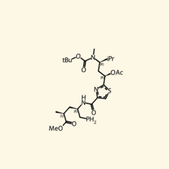 COC(=O)[C@@H](C)C[C@H](CP)NC(=O)c1csc([C@@H](C[C@H](C(C)C)N(C)C(=O)OC(C)(C)C)OC(C)=O)n1